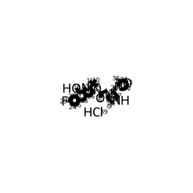 C[C@@H]1CN(CC(=O)N2CC(C)(C)c3nc(CO)c(Cc4ccc(F)cc4)cc32)[C@@H](CN2CCOC[C@H]2C)CN1.Cl